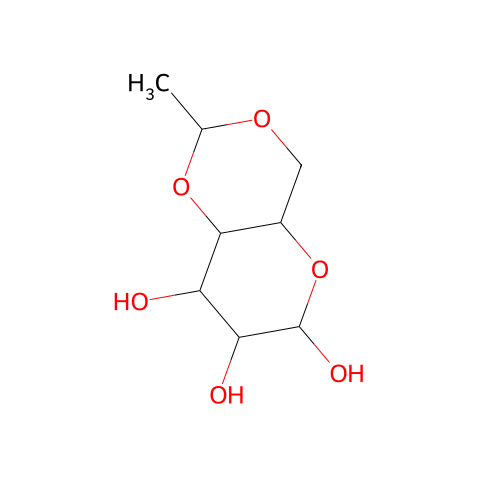 CC1OCC2OC(O)C(O)C(O)C2O1